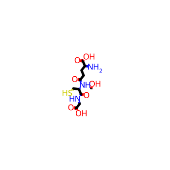 CO.NC(CCC(=O)NC(CS)C(=O)NCC(=O)O)C(=O)O